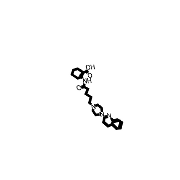 O=C(CCCCN1CCN(c2ccc3ccccc3n2)CC1)NC1=C(C(=O)O)CCCC1